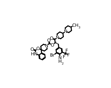 CC1CCN(C2CCN(C(=O)[C@@H](Cc3cc(Br)c(N)c(C(F)(F)F)c3)OC(=O)N3CCC4(CC3)OC(=O)Nc3ccccc34)CC2)CC1